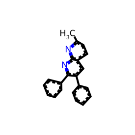 Cc1ccc2cc(-c3ccccc3)c(-c3ccccc3)nc2n1